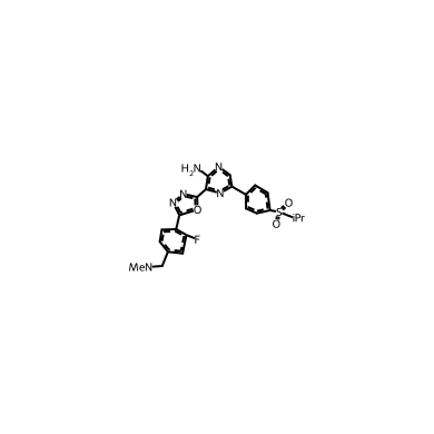 CNCc1ccc(-c2nnc(-c3nc(-c4ccc(S(=O)(=O)C(C)C)cc4)cnc3N)o2)c(F)c1